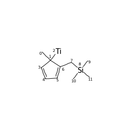 C[C]1([Ti])C=CC=C1C[Si](C)(C)C